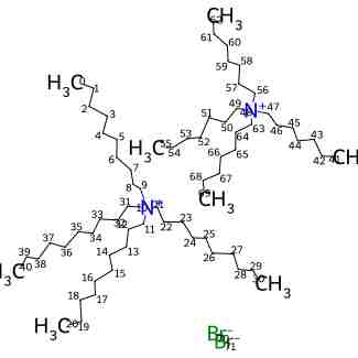 CCCCCCCCCC[N+](CCCCCCCCCC)(CCCCCCCCCC)CCCCCCCCCC.CCCCCCC[N+](CCCCCCC)(CCCCCCC)CCCCCCC.[Br-].[Br-]